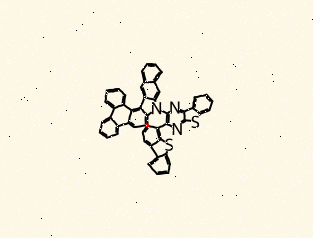 c1ccc2cc3c(cc2c1)c1c2c4ccccc4c4ccccc4c2ccc1n3-c1nc2c(nc1-c1cccc3c1sc1ccccc13)sc1ccccc12